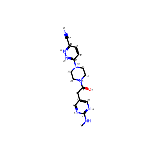 CNc1ncc(CC(=O)N2CCN(c3ccc(C#N)nn3)CC2)cn1